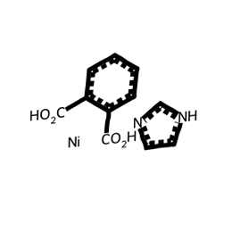 O=C(O)c1ccccc1C(=O)O.[Ni].c1c[nH]cn1